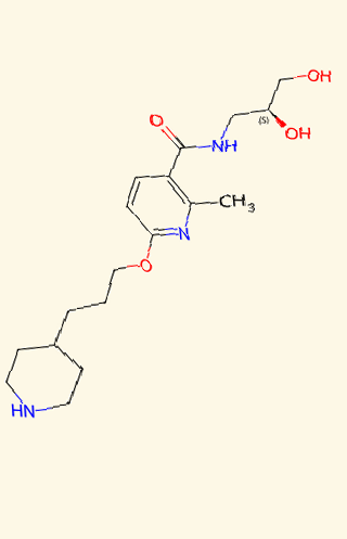 Cc1nc(OCCCC2CCNCC2)ccc1C(=O)NC[C@H](O)CO